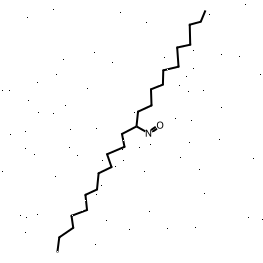 CCCCCCCCCCCCC(CCCCCCCCCCC)N=O